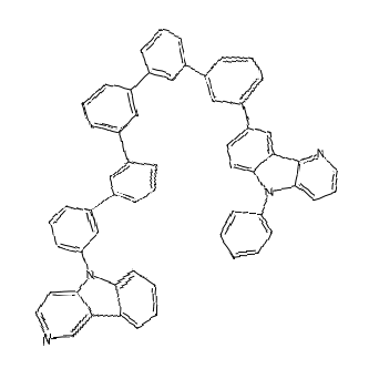 c1ccc(-n2c3ccc(-c4cccc(-c5cccc(-c6cccc(-c7cccc(-c8cccc(-n9c%10ccccc%10c%10cnccc%109)c8)c7)c6)c5)c4)cc3c3ncccc32)cc1